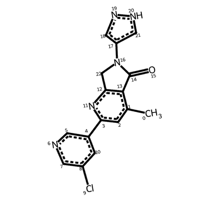 Cc1cc(-c2cncc(Cl)c2)nc2c1C(=O)N(c1cn[nH]c1)C2